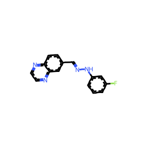 Fc1cccc(NN=Cc2ccc3nccnc3c2)c1